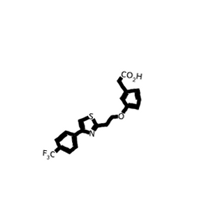 O=C(O)Cc1cccc(OCCc2nc(-c3ccc(C(F)(F)F)cc3)cs2)c1